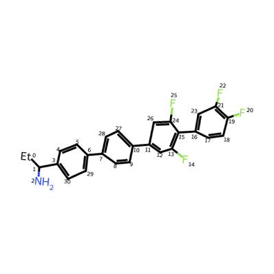 CCC(N)c1ccc(-c2ccc(-c3cc(F)c(-c4ccc(F)c(F)c4)c(F)c3)cc2)cc1